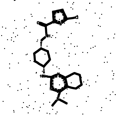 CN(C)c1nc(N[C@H]2CC[C@@H](CNC(=O)c3ccc(Cl)s3)CC2)nc2c1CCCC2